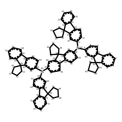 c1ccc2c(c1)-c1ccc(N(c3ccc4c(c3)C3(CCCC3)c3ccccc3-4)c3ccc4c(c3)C3(CCCC3)c3cc(N(c5ccc6c(c5)C5(CCCC5)c5ccccc5-6)c5ccc6c(c5)C5(CCCC5)c5ccccc5-6)ccc3-4)cc1C21CCCC1